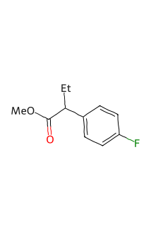 CCC(C(=O)OC)c1ccc(F)cc1